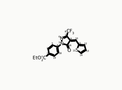 CCOC(=O)c1ccc(N2N=C(C(F)(F)F)/C(=C/c3cccs3)C2=O)cc1